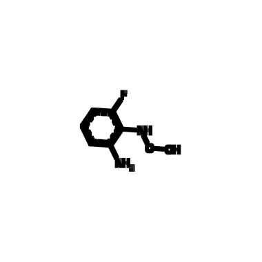 Nc1cccc(F)c1NOO